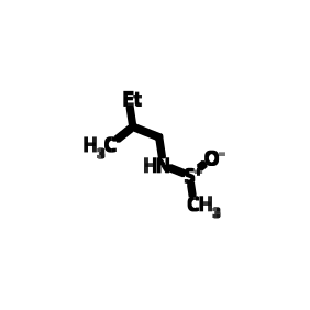 CCC(C)CN[S+](C)[O-]